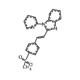 CS(=O)(=O)c1ccc(C=Cc2nc3ccccc3n2-c2ccccn2)cc1